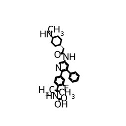 CN[C@H]1CC[C@H](CC(=O)Nc2cnc(-c3ccc(C(C)(C)NC(=O)O)c(F)c3)c(-c3ccccc3)c2)CC1